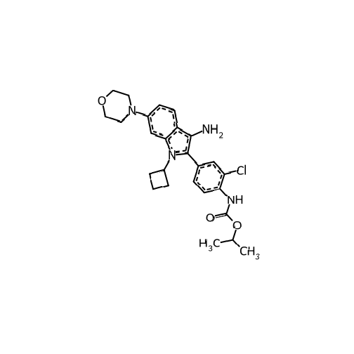 CC(C)OC(=O)Nc1ccc(-c2c(N)c3ccc(N4CCOCC4)cc3n2C2CCC2)cc1Cl